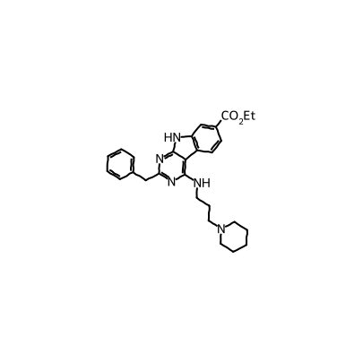 CCOC(=O)c1ccc2c(c1)[nH]c1nc(Cc3ccccc3)nc(NCCCN3CCCCC3)c12